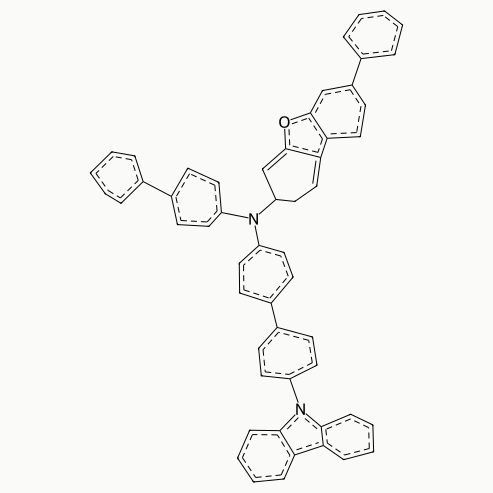 C1=c2oc3cc(-c4ccccc4)ccc3c2=CCC1N(c1ccc(-c2ccccc2)cc1)c1ccc(-c2ccc(-n3c4ccccc4c4ccccc43)cc2)cc1